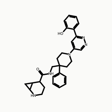 O=C(NCC1(c2ccccc2)CCN(c2cnnc(-c3ccccc3O)c2)CC1)C1CCNC2CC21